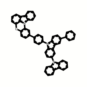 c1ccc(-c2ccc3c(c2)c2cc(-n4c5ccccc5c5ccccc54)ccc2n3-c2ccc(-c3ccc4c(c3)-n3c5ccccc5c5cccc(c53)O4)cc2)cc1